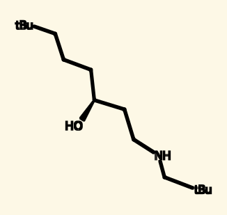 CC(C)(C)CCC[C@H](O)CCNCC(C)(C)C